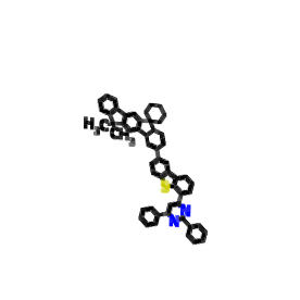 CC1(C)c2ccccc2-c2cc3c(cc21)C1C=C(c2ccc4sc5c(-c6cc(-c7ccccc7)nc(-c7ccccc7)n6)cccc5c4c2)C=CC1C31CCCCC1